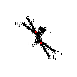 CCCCCCCCCCCCCCCC1(CCCCCCCCCCCCCCC)Oc2cc3c(cc2-c2sc(C)cc21)OC(CCCCCCCCCCCCCCC)(CCCCCCCCCCCCCCC)c1cc(-c2ccc(C)c4nsnc24)sc1-3